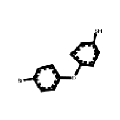 Sc1ccc(Oc2ccc(Br)cc2)cc1